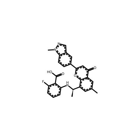 Cc1cc([C@@H](C)Nc2cccc(F)c2C(=O)O)c2oc(-c3ccc4c(cnn4C)c3)cc(=O)c2c1